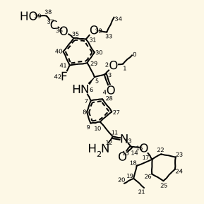 CCOC(=O)[C@@H](Nc1ccc(C(N)=NC(=O)OC2(CC(C)C)CCCCC2)cc1)c1cc(OCC)c(OCCO)cc1F